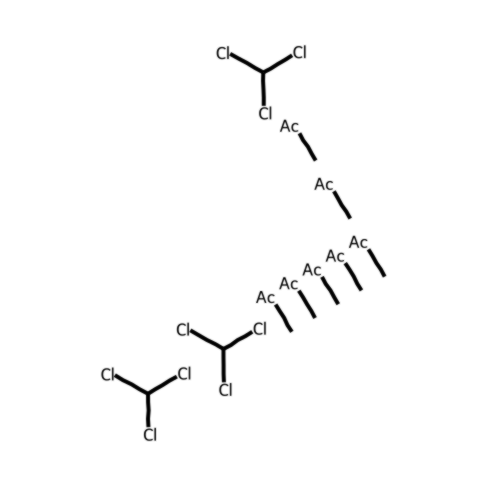 CC(C)=O.CC(C)=O.CC(C)=O.CC(C)=O.CC(C)=O.CC(C)=O.CC(C)=O.ClC(Cl)Cl.ClC(Cl)Cl.ClC(Cl)Cl